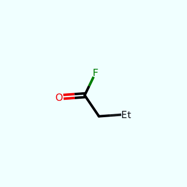 [CH2]CCC(=O)F